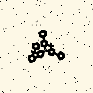 CC1(C)c2cc(-c3ccccc3)ccc2N(c2ccc3c(c2)C(C)(c2ccccc2)c2ccccc2-3)c2ccc(-c3ccccc3)cc21